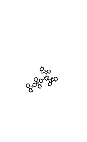 c1ccc([Si](c2ccccc2)(c2ccc(-c3cc(-n4c5ccccc5n5c6ccccc6nc45)nc(-n4c5ccccc5n5c6ccccc6nc45)c3)cc2)c2ccc(-n3c4ccccc4c4ccccc43)cc2)cc1